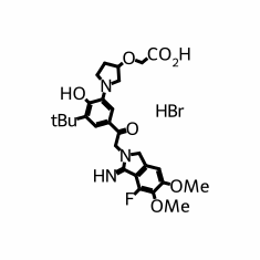 Br.COc1cc2c(c(F)c1OC)C(=N)N(CC(=O)c1cc(N3CCC(OCC(=O)O)C3)c(O)c(C(C)(C)C)c1)C2